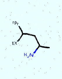 CCCC(CC)CC(C)N